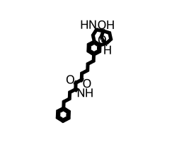 N=C(CCCc1ccccc1)C(=O)C(=O)CCCCc1ccc2c(c1)[C@@H]1CCC(O)(CO1)C(=N)C2